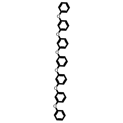 c1ccc(Oc2cccc(Oc3cccc(Oc4cccc(Oc5cccc(Oc6cccc(Oc7ccccc7)c6)c5)c4)c3)c2)cc1